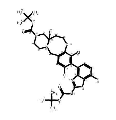 CC(C)(C)OC(=O)Nc1nc2c(-c3c(Cl)cc4c(c3Cl)OCC[C@H]3CN(C(=O)OC(C)(C)C)CCN3C4)ccc(F)c2s1